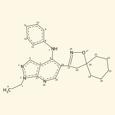 CCn1ncc2c(Nc3ccccc3)c(C3=NOC4(CCCCC4)C3)cnc21